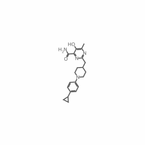 Cc1nc(CC2CCN(c3ccc(C4CC4)cc3)CC2)nc(C(N)=O)c1O